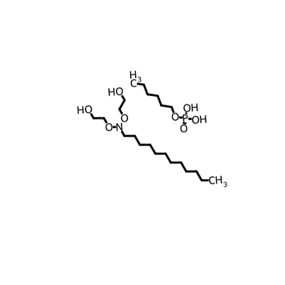 CCCCCCCCCCCCN(OCCO)OCCO.CCCCCCOP(=O)(O)O